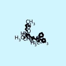 Cc1cc(CC(=O)Nc2cc(C3CC(CO[Si](c4ccccc4)(c4ccccc4)C(C)(C)C)C3)nn2C(C)(C)C)on1